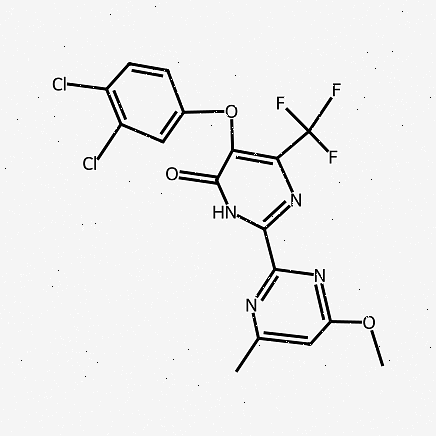 COc1cc(C)nc(-c2nc(C(F)(F)F)c(Oc3ccc(Cl)c(Cl)c3)c(=O)[nH]2)n1